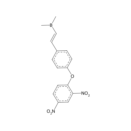 CB(C)C=Cc1ccc(Oc2ccc([N+](=O)[O-])cc2[N+](=O)[O-])cc1